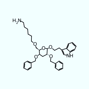 NCCCCCCOC[C@H]1O[C@@H](OCCc2c[nH]c3ccccc23)[C@H](OCc2ccccc2)C[C@H]1OCc1ccccc1